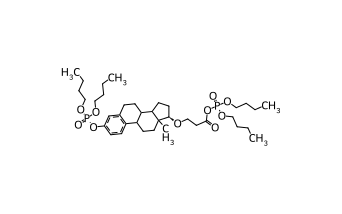 CCCCOP(=O)(OCCCC)OC(=O)CCO[C@@H]1CCC2C3CCc4cc(OP(=O)(OCCCC)OCCCC)ccc4C3CCC21C